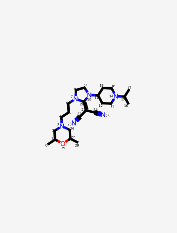 CC1CN(CCCN2CCN(C3CCN(C(C)C)CC3)C2=C(C#N)C#N)CC(C)O1